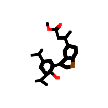 COC(=O)C=C(C)c1ccc2scc(-c3cc(C(C)C)cc(C(C)C)c3O)c2c1